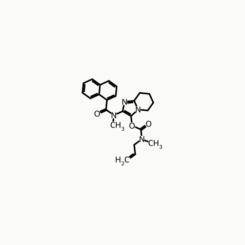 C=CCN(C)C(=O)Oc1c(N(C)C(=O)c2cccc3ccccc23)nc2n1CCCC2